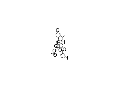 CC(=O)OCC(=O)[C@@]1(OC(=O)c2cccc(I)c2)CC[C@H]2[C@@H]3CC(C)C4=CC(=O)CC[C@]4(C)C3=CC[C@@]21C